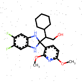 COc1ccc(C2(C(CO)C3CCCCC3)Nc3cc(F)c(F)cc3N2)c(OC)n1